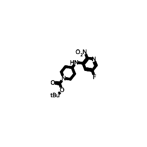 CC(C)(C)OC(=O)N1CCC(Nc2cc(F)cnc2[N+](=O)[O-])CC1